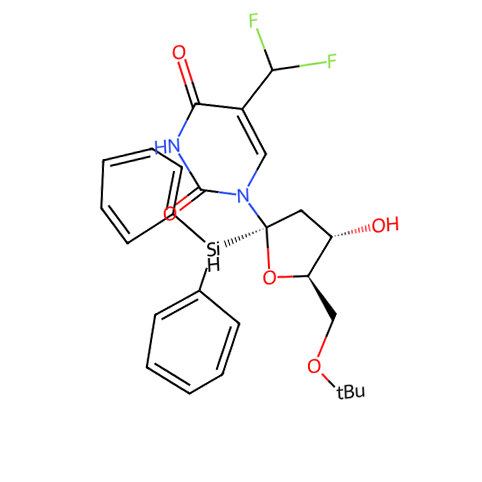 CC(C)(C)OC[C@H]1O[C@](n2cc(C(F)F)c(=O)[nH]c2=O)([SiH](c2ccccc2)c2ccccc2)C[C@@H]1O